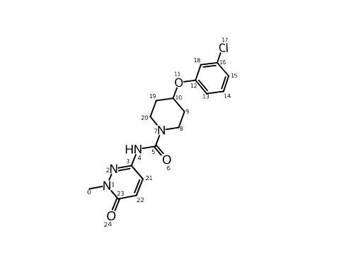 Cn1nc(NC(=O)N2CCC(Oc3cccc(Cl)c3)CC2)ccc1=O